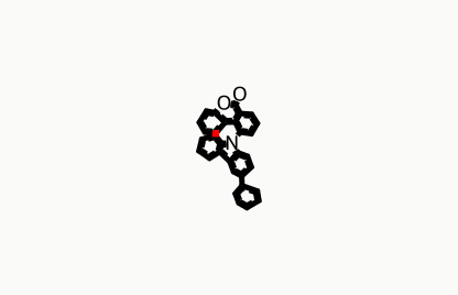 O=c1oc2ccccc2c2c(-n3c4ccccc4c4cc(-c5ccccc5)ccc43)cccc12